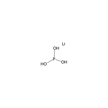 OP(O)O.[Li]